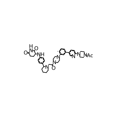 CC(=O)N1CCN(c2ccc(-c3cc[c]c(N4CCN(C(=O)CN5CCCCC5c5ccc(NC6CCC(=O)NC6=O)cc5)CC4)c3)cn2)CC1